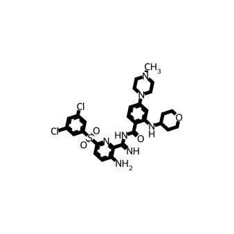 CN1CCN(c2ccc(C(=O)NC(=N)c3nc(S(=O)(=O)c4cc(Cl)cc(Cl)c4)ccc3N)c(NC3CCOCC3)c2)CC1